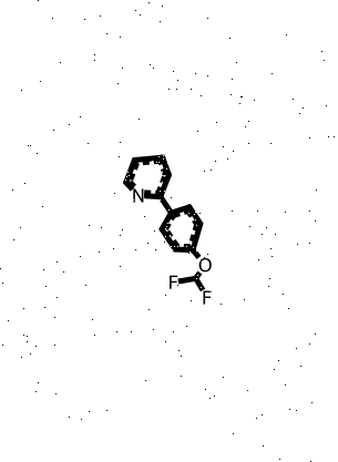 FC(F)Oc1ccc(-c2ccccn2)cc1